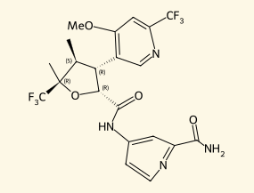 COc1cc(C(F)(F)F)ncc1[C@@H]1[C@H](C(=O)Nc2ccnc(C(N)=O)c2)O[C@@](C)(C(F)(F)F)[C@H]1C